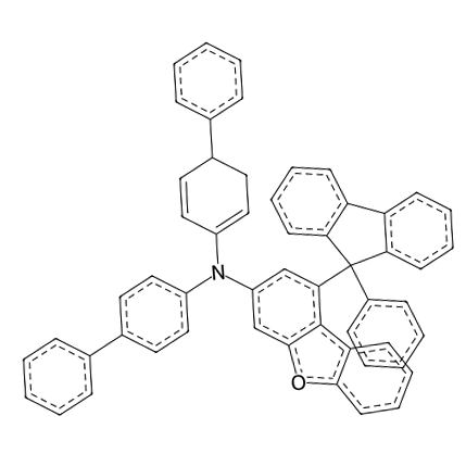 C1=CC(c2ccccc2)CC=C1N(c1ccc(-c2ccccc2)cc1)c1cc(C2(c3ccccc3)c3ccccc3-c3ccccc32)c2c(c1)oc1ccccc12